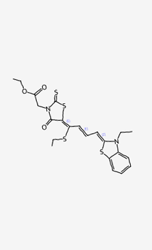 CCOC(=O)CN1C(=O)/C(=C(/C=C/C=C2\Sc3ccccc3N2CC)SCC)SC1=S